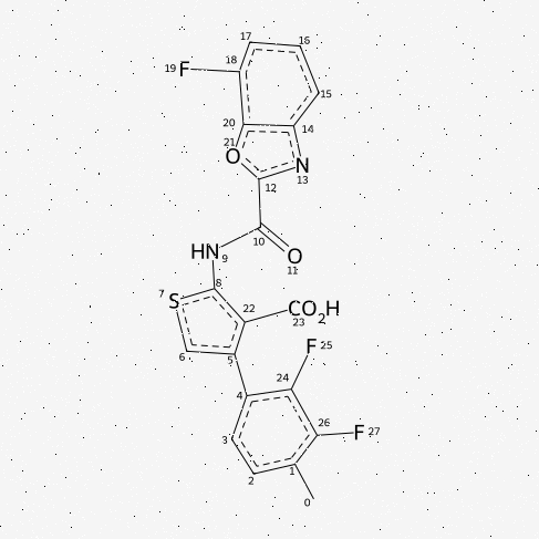 Cc1ccc(-c2csc(NC(=O)c3nc4cccc(F)c4o3)c2C(=O)O)c(F)c1F